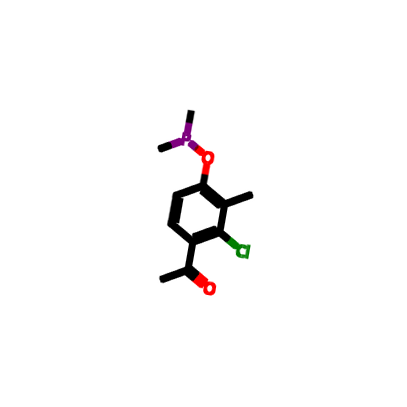 CC(=O)c1ccc(OP(C)C)c(C)c1Cl